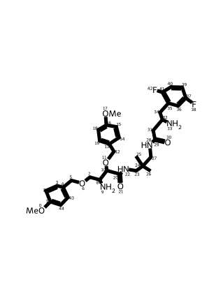 COc1ccc(COCC(N)C(OCc2ccc(OC)cc2)C(=O)NCC(C)(C)CNC(=O)CC(N)Cc2cc(F)ccc2F)cc1